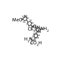 COc1cncc(-c2ccc([C@H](Oc3cc(-c4ccc(CC(N)C(=O)O)cc4)nc(N)n3)C(F)(F)F)cc2)c1